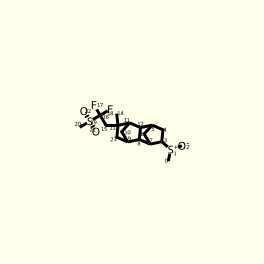 C[S+]([O-])C1CC2CC1C1C3CC(C21)C(C)(CC(F)(F)S(C)(=O)=O)C3